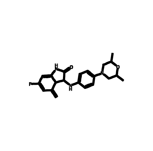 C=C1C=C(F)C=C2NC(=O)C(Nc3ccc(N4CC(C)OC(C)C4)cc3)C12